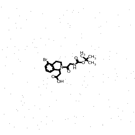 CC(C)(C)OC(=O)NCC(=O)N1CCc2c(Br)cccc2C1CC(=O)O